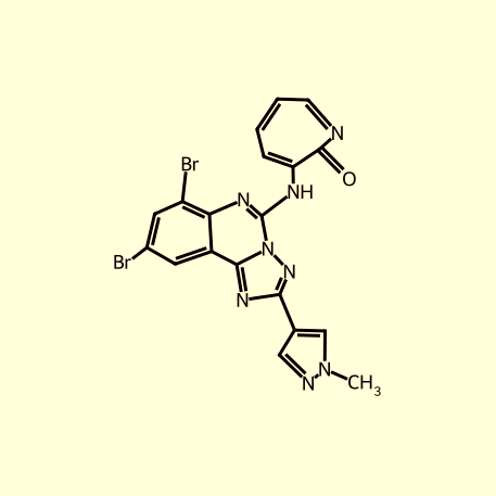 Cn1cc(-c2nc3c4cc(Br)cc(Br)c4nc(Nc4ccccnc4=O)n3n2)cn1